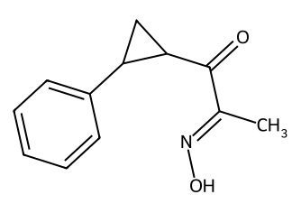 CC(=NO)C(=O)C1CC1c1ccccc1